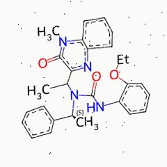 CCOc1ccccc1NC(=O)N(C(C)c1nc2ccccc2n(C)c1=O)[C@@H](C)c1ccccc1